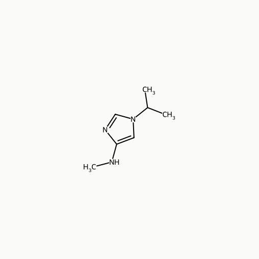 CNc1cn(C(C)C)cn1